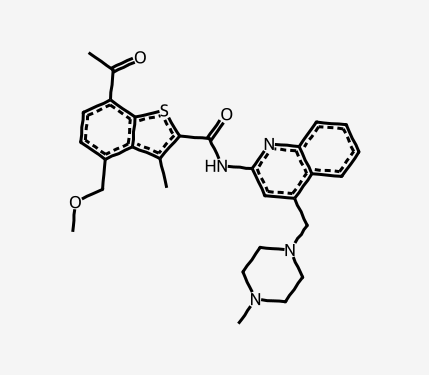 COCc1ccc(C(C)=O)c2sc(C(=O)Nc3cc(CN4CCN(C)CC4)c4ccccc4n3)c(C)c12